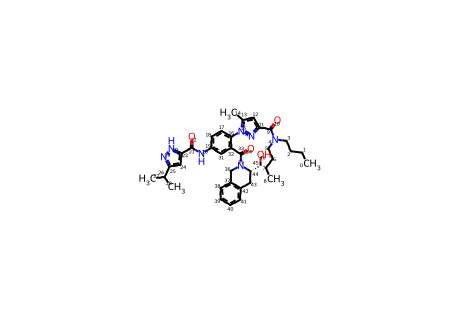 CCCCN(CCCC)C(=O)c1cc(C)n(-c2ccc(NC(=O)c3cc(C(C)C)n[nH]3)cc2C(=O)N2Cc3ccccc3C[C@H]2CO)n1